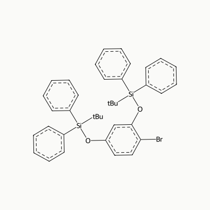 CC(C)(C)[Si](Oc1ccc(Br)c(O[Si](c2ccccc2)(c2ccccc2)C(C)(C)C)c1)(c1ccccc1)c1ccccc1